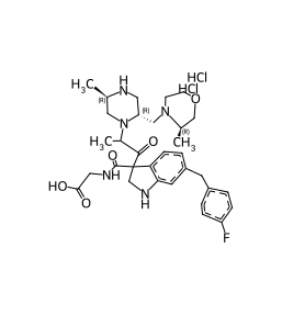 CC(C(=O)C1(C(=O)NCC(=O)O)CNc2cc(Cc3ccc(F)cc3)ccc21)N1C[C@@H](C)NC[C@@H]1CN1CCOC[C@H]1C.Cl.Cl